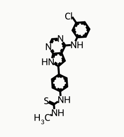 CNC(=S)Nc1ccc(-c2cc3c(Nc4cccc(Cl)c4)ncnc3[nH]2)cc1